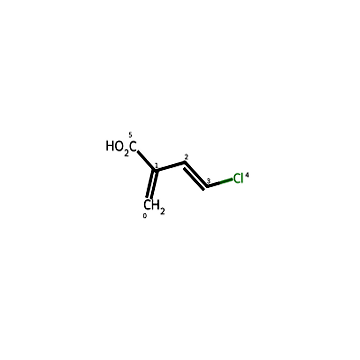 C=C(C=CCl)C(=O)O